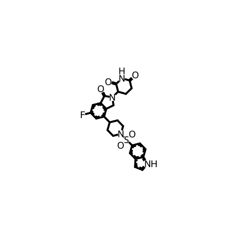 O=C1CCC(N2Cc3c(cc(F)cc3C3CCN(S(=O)(=O)c4ccc5[nH]ccc5c4)CC3)C2=O)C(=O)N1